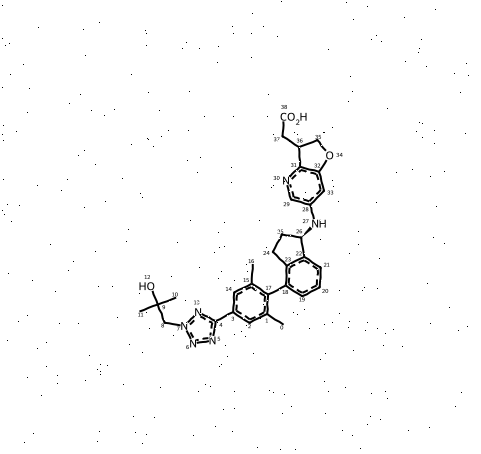 Cc1cc(-c2nnn(CC(C)(C)O)n2)cc(C)c1-c1cccc2c1CC[C@H]2Nc1cnc2c(c1)OCC2CC(=O)O